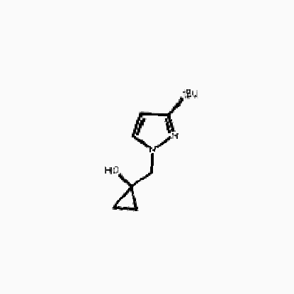 CC(C)(C)c1ccn(CC2(O)CC2)n1